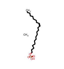 C.CCCCCCCC/C=C\CCCCCCCCCCCCOS(=O)(=O)O